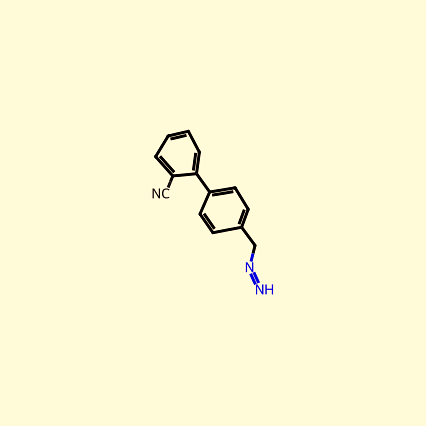 N#Cc1ccccc1-c1ccc(CN=N)cc1